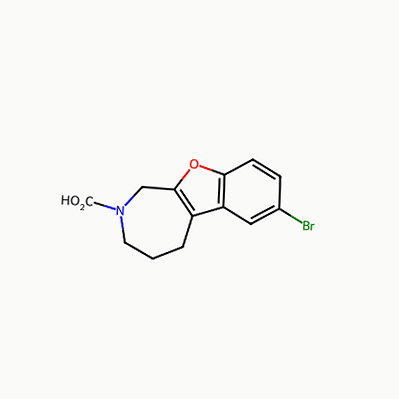 O=C(O)N1CCCc2c(oc3ccc(Br)cc23)C1